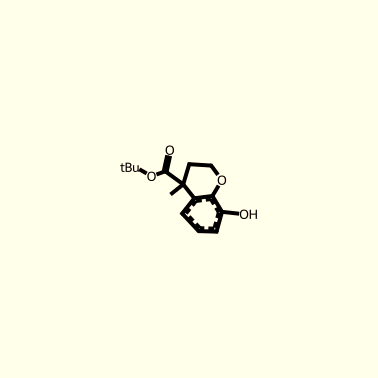 CC(C)(C)OC(=O)C1(C)CCOc2c(O)cccc21